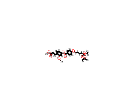 CCO[Si](CCCCOc1ccc(C(=O)Oc2ccc(/C=C/C(=O)OC)c(OC)c2)cc1)(OCC)OCC